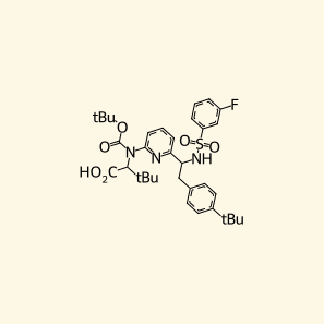 CC(C)(C)OC(=O)N(c1cccc(C(Cc2ccc(C(C)(C)C)cc2)NS(=O)(=O)c2cccc(F)c2)n1)C(C(=O)O)C(C)(C)C